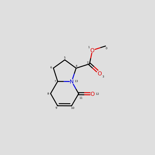 COC(=O)C1CCC2CC=CC(=O)N21